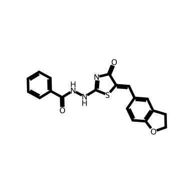 O=C1N=C(NNC(=O)c2ccccc2)S/C1=C\c1ccc2c(c1)CCO2